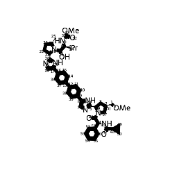 COC[C@H]1C[C@@H](c2ncc(-c3ccc(-c4ccc(-c5cnc([C@@H]6CC[C@H](C)N6C(O)[C@@H](NC(=O)OC)C(C)C)[nH]5)cc4)cc3)[nH]2)N(C(=O)[C@H](NC(=O)C2CC2)c2ccccc2)C1